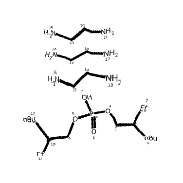 CCCCC(CC)COP(=O)(O)OCC(CC)CCCC.NCCN.NCCN.NCCN